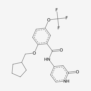 O=C(Nc1cc[nH]c(=O)c1)c1cc(OC(F)(F)F)ccc1OCC1CCCC1